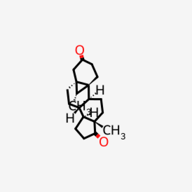 C[C@@H]1[C@]23CC[C@@H]4[C@H](CC[C@]5(C)C(=O)CC[C@@H]45)[C@]12CCC(=O)C3